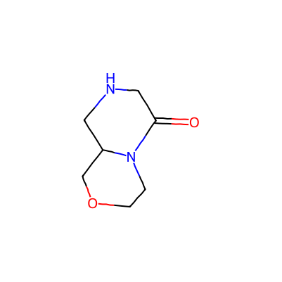 O=C1CNCC2COCCN12